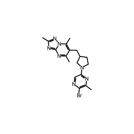 Cc1nc2nc(C)c(CC3CCN(c4cnc(Br)c(C)n4)C3)c(C)n2n1